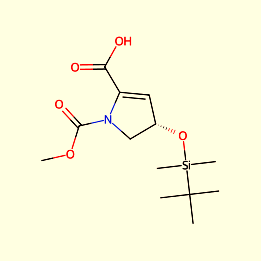 COC(=O)N1C[C@@H](O[Si](C)(C)C(C)(C)C)C=C1C(=O)O